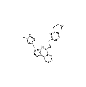 Cc1cc(-c2nnc3c4ccccc4c(OCc4ccc5c(n4)CCNC5)nn23)no1